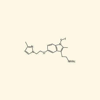 CC(=O)NCCc1c(C)n(SI)c2ccc(OCCn3ccc(C)n3)cc12